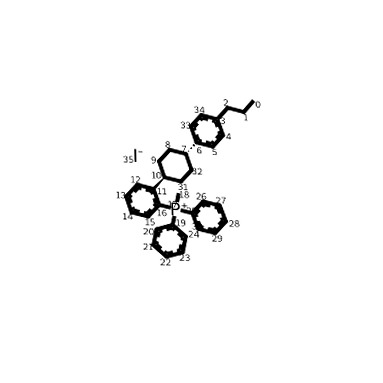 CCCc1ccc([C@H]2CC[C@H](c3ccccc3[P+](C)(c3ccccc3)c3ccccc3)CC2)cc1.[I-]